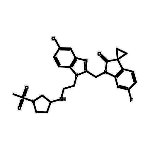 CS(=O)(=O)N1CCC(NCCn2c(CN3C(=O)C4(CC4)c4ccc(F)cc43)nc3cc(Cl)ccc32)C1